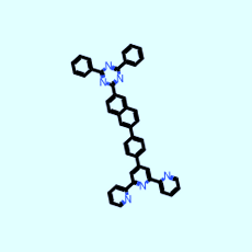 c1ccc(-c2nc(-c3ccccc3)nc(-c3ccc4cc(-c5ccc(-c6cc(-c7ccccn7)nc(-c7ccccn7)c6)cc5)ccc4c3)n2)cc1